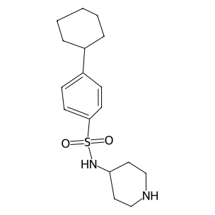 O=S(=O)(NC1CCNCC1)c1ccc(C2CCCCC2)cc1